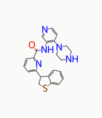 O=C(Nc1cnccc1N1CCNCC1)c1cccc(C2CSc3ccccc32)n1